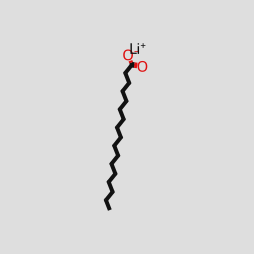 CCCCCCCCCCCCCCCCC(=O)[O-].[Li+]